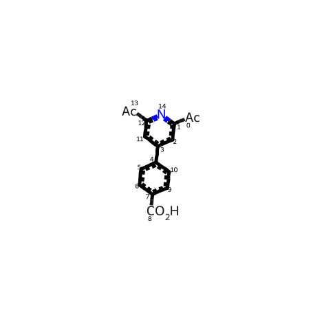 CC(=O)c1cc(-c2ccc(C(=O)O)cc2)cc(C(C)=O)n1